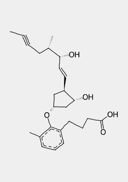 CC#CC[C@H](C)[C@H](O)/C=C/[C@@H]1C[C@@H](Oc2c(C)cccc2CCCC(=O)O)C[C@H]1O